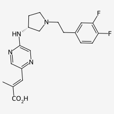 CC(=Cc1cnc(N[C@@H]2CCN(CCc3ccc(F)c(F)c3)C2)cn1)C(=O)O